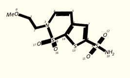 COCCN1C=Cc2cc(S(N)(=O)=O)sc2S1(=O)=O